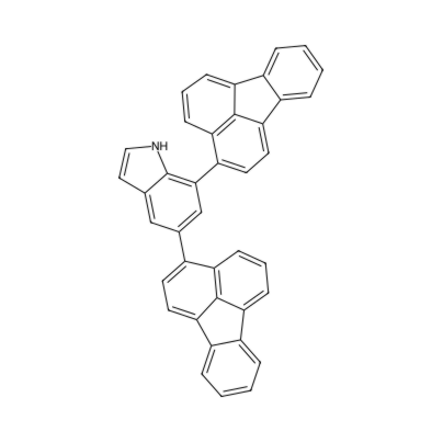 c1ccc2c(c1)-c1cccc3c(-c4cc(-c5ccc6c7c(cccc57)-c5ccccc5-6)c5[nH]ccc5c4)ccc-2c13